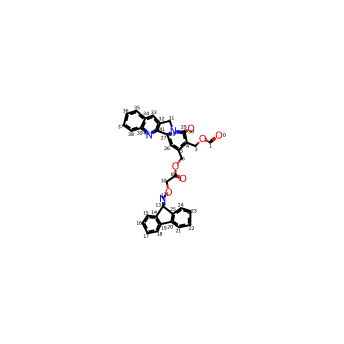 O=COCc1c(COC(=O)CON=C2c3ccccc3-c3ccccc32)cc2n(c1=O)Cc1cc3ccccc3nc1-2